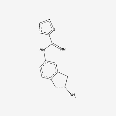 N=C(Nc1ccc2c(c1)CC(N)C2)c1cccs1